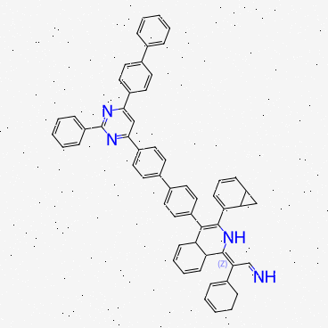 N=C/C(C1=CC=CCC1)=C1\NC(C2=CC=CC3CC23)=C(c2ccc(-c3ccc(-c4cc(-c5ccc(-c6ccccc6)cc5)nc(-c5ccccc5)n4)cc3)cc2)C2C=CC=CC12